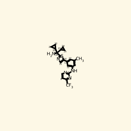 Cc1cc(Nc2nccc(C(F)(F)F)n2)cc(-c2cnc(C(N)(C3CC3)C3CC3)s2)c1